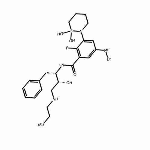 CCNc1cc(C(=O)N[C@@H](Cc2ccccc2)[C@H](O)CNCCC(C)(C)C)c(F)c(N2CCCCS2(O)O)c1